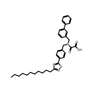 CCCCCCCCCCCc1noc(-c2ccc(CN(Cc3cccc(-c4ccccc4)c3)C(=O)C(=O)O)cc2)n1